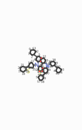 c1ccc(-c2cccc(N(c3ccc4c(c3)sc3ccccc34)c3ccccc3-c3ccccc3N(c3cccc(-c4ccccc4)c3)c3ccc4c(c3)sc3ccccc34)c2)cc1